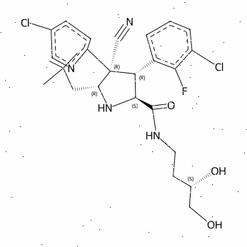 CC(C)(C)C[C@H]1N[C@H](C(=O)NCC[C@H](O)CO)[C@@H](c2cccc(Cl)c2F)[C@]1(C#N)c1ccc(Cl)cn1